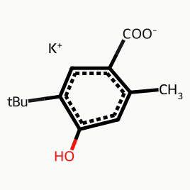 Cc1cc(O)c(C(C)(C)C)cc1C(=O)[O-].[K+]